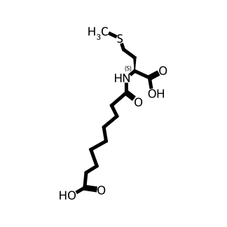 CSCC[C@H](NC(=O)CCCCCCCC(=O)O)C(=O)O